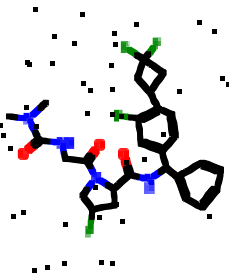 CN(C)C(=O)NCC(=O)N1CC(F)CC1C(=O)NC(c1ccccc1)c1ccc(C2CC(F)(F)C2)c(F)c1